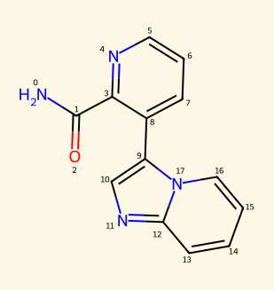 NC(=O)c1ncccc1-c1cnc2ccccn12